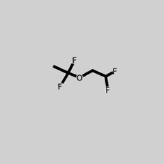 CC(F)(F)OCC(F)F